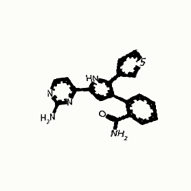 NC(=O)c1ccccc1-c1cc(-c2ccnc(N)n2)[nH]c1-c1ccsc1